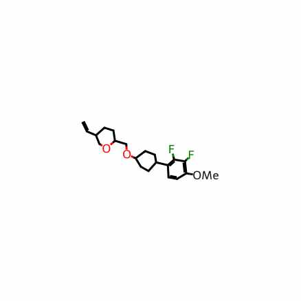 C=CC1CCC(COC2CCC(c3ccc(OC)c(F)c3F)CC2)OC1